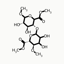 COC(=O)C1OC(OC)[C@@H](O)[C@H](O)[C@H]1OC1O[C@@H](C(=O)OC)[C@H](OC)C(O)C1O